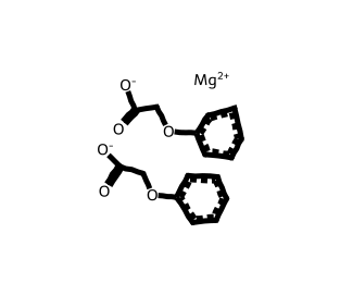 O=C([O-])COc1ccccc1.O=C([O-])COc1ccccc1.[Mg+2]